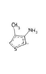 Cc1cs[c]c1N